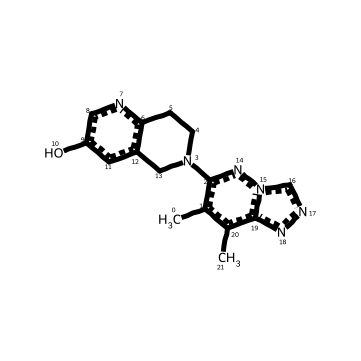 Cc1c(N2CCc3ncc(O)cc3C2)nn2cnnc2c1C